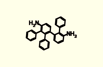 Nc1cccc(-c2ccc(N)c(-c3ccccc3)c2-c2ccccc2)c1-c1ccccc1